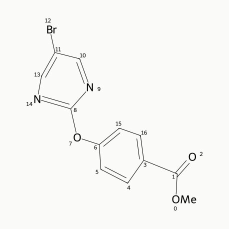 COC(=O)c1ccc(Oc2ncc(Br)cn2)cc1